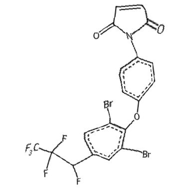 O=C1C=CC(=O)N1c1ccc(Oc2c(Br)cc(C(F)C(F)(F)C(F)(F)F)cc2Br)cc1